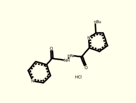 CCCCc1cccc(C(=O)NNC(=O)c2ccncc2)n1.Cl